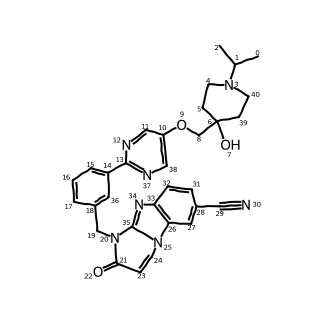 CC(C)N1CCC(O)(COc2cnc(-c3cccc(Cn4c(=O)ccn5c6cc(C#N)ccc6nc45)c3)nc2)CC1